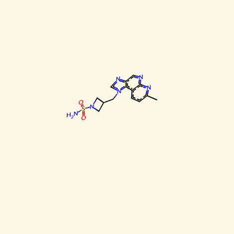 Cc1ccc2c(ncc3ncn(CC4CN(S(N)(=O)=O)C4)c32)n1